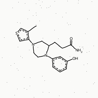 Cc1cscc1N1CCN(c2cccc(O)c2)C(CCC(N)=O)C1